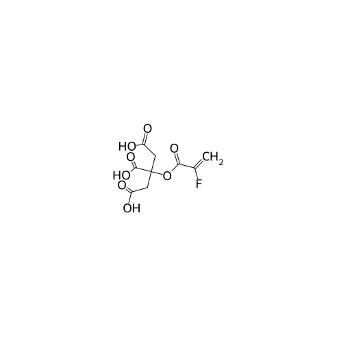 C=C(F)C(=O)OC(CC(=O)O)(CC(=O)O)C(=O)O